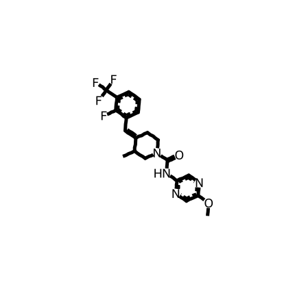 COc1cnc(NC(=O)N2CCC(=Cc3cccc(C(F)(F)F)c3F)C(C)C2)cn1